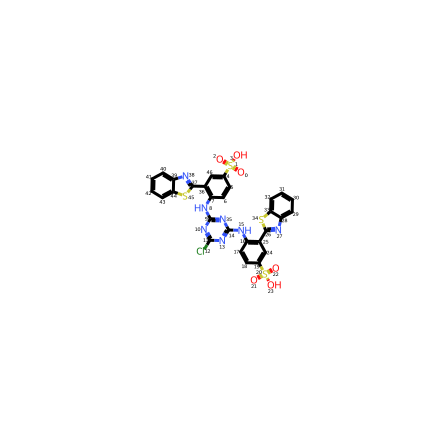 O=S(=O)(O)c1ccc(Nc2nc(Cl)nc(Nc3ccc(S(=O)(=O)O)cc3-c3nc4ccccc4s3)n2)c(-c2nc3ccccc3s2)c1